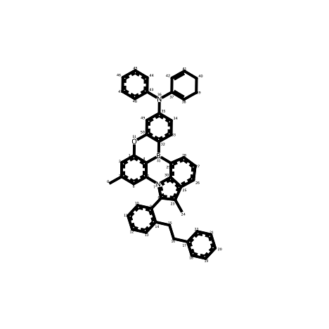 Cc1cc2c3c(c1)-n1c(-c4ccccc4CCc4ccccc4)c(C)c4cccc(c41)B3c1ccc(N(C3=CCCC=C3)c3ccccc3)cc1O2